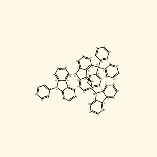 c1ccc(-n2c3ccccc3c3c(-n4c5ccc(-n6c7ccccc7c7ccccc76)cc5c5c([Si](c6ccccc6)(c6ccccc6)c6ccccc6)cccc54)cccc32)cc1